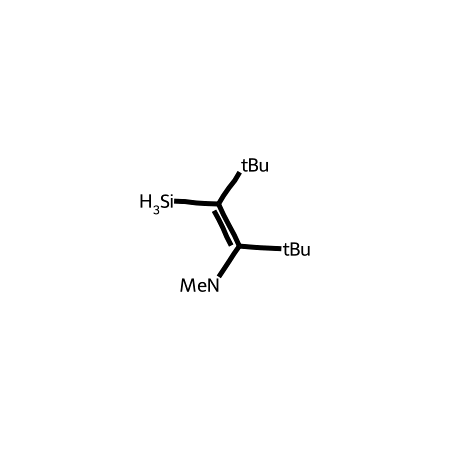 CNC(=C([SiH3])C(C)(C)C)C(C)(C)C